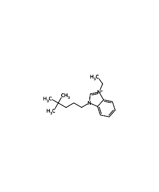 CC[n+]1cn(CCCC(C)(C)C)c2ccccc21